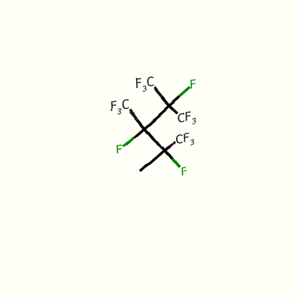 CC(F)(C(F)(F)F)C(F)(C(F)(F)F)C(F)(C(F)(F)F)C(F)(F)F